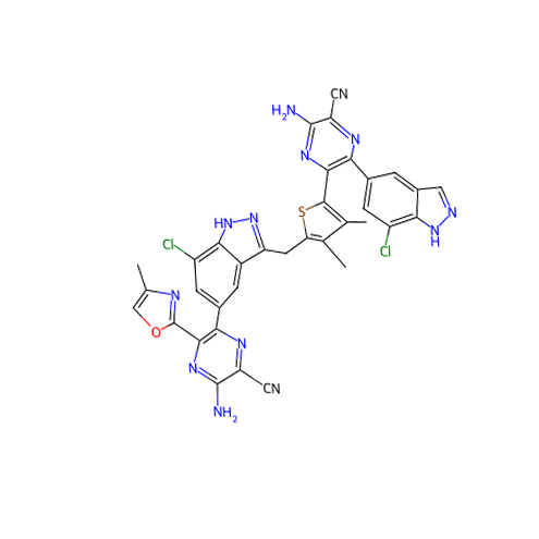 Cc1coc(-c2nc(N)c(C#N)nc2-c2cc(Cl)c3[nH]nc(Cc4sc(-c5nc(N)c(C#N)nc5-c5cc(Cl)c6[nH]ncc6c5)c(C)c4C)c3c2)n1